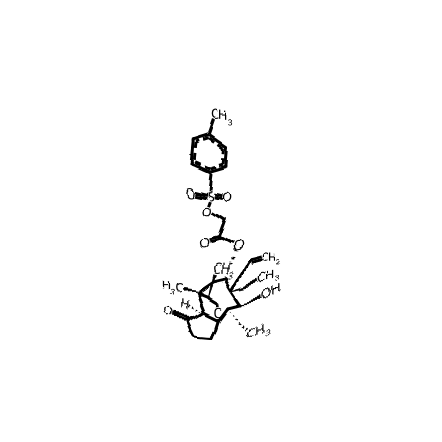 C=C[C@@]1(C)[C@@H](OC(=O)COS(=O)(=O)c2ccc(C)cc2)C[C@]2(C)[C@H](C)CC[C@]3(CCC(=O)[C@@H]23)[C@@H](C)[C@@H]1O